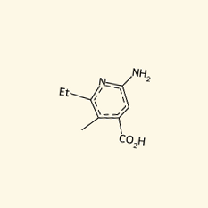 CCc1nc(N)cc(C(=O)O)c1C